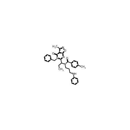 CCC(c1nc2onc(C)c2c(=O)n1Cc1ccccc1)N(CCCNc1ccccc1)C(=O)c1ccc(C)cc1